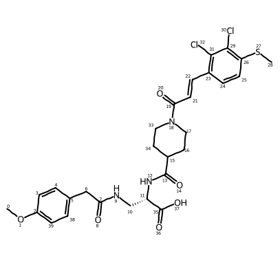 COc1ccc(CC(=O)NC[C@H](NC(=O)C2CCN(C(=O)C=Cc3ccc(SC)c(Cl)c3Cl)CC2)C(=O)O)cc1